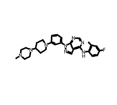 Cc1cc(F)ccc1Nc1ncnc2c1cnn2-c1cccc(N2CCC(N3CCN(C)CC3)CC2)c1